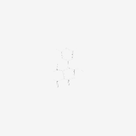 O=C(O)c1c(C(=O)[O-])n(-c2cc(Cl)cc(Cl)c2)c(=O)[nH]c1=O.[Na+]